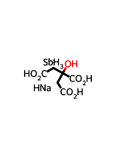 O=C(O)CC(O)(CC(=O)O)C(=O)O.[NaH].[SbH3]